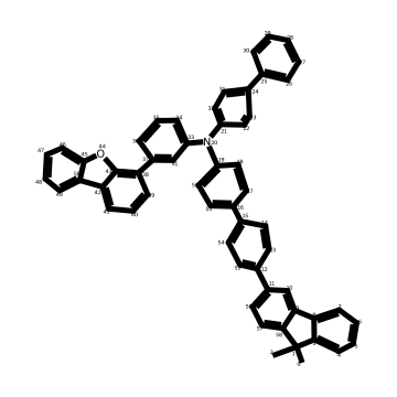 CC1(C)c2ccccc2-c2cc(-c3ccc(-c4ccc(N(c5ccc(-c6ccccc6)cc5)c5cccc(-c6cccc7c6oc6ccccc67)c5)cc4)cc3)ccc21